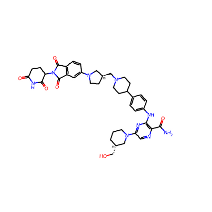 NC(=O)c1ncc(N2CCC[C@@H](CO)C2)nc1Nc1ccc(C2CCN(C[C@H]3CCN(c4ccc5c(c4)C(=O)N(C4CCC(=O)NC4=O)C5=O)C3)CC2)cc1